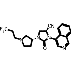 N#C[C@@H]1CN([C@@H]2CCN(CCC(F)(F)F)C2)C(=O)N1c1cncc2ccccc12